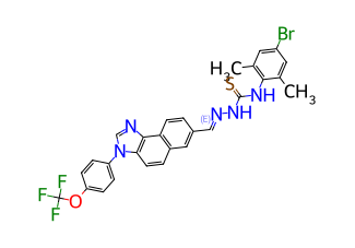 Cc1cc(Br)cc(C)c1NC(=S)N/N=C/c1ccc2c(ccc3c2ncn3-c2ccc(OC(F)(F)F)cc2)c1